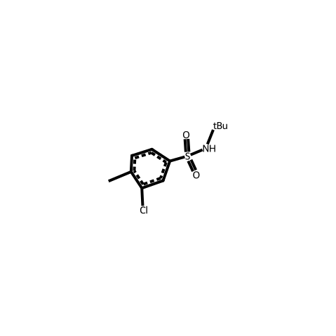 Cc1ccc(S(=O)(=O)NC(C)(C)C)cc1Cl